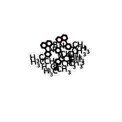 CC(C)(C)c1ccc(N2c3ccccc3B3c4ccccc4N(c4ccc(C(C)(C)C)cc4-c4ccccc4)c4cc(N5c6ccc([Si](C)(C)C)cc6C6(C)CC(C)(C)C(C)(C)CC56C)cc2c43)c(-c2ccccc2)c1